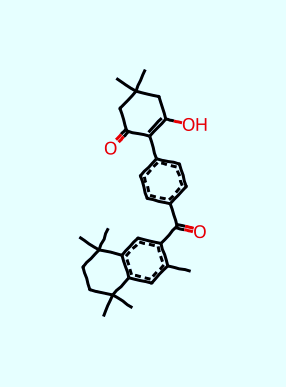 Cc1cc2c(cc1C(=O)c1ccc(C3=C(O)CC(C)(C)CC3=O)cc1)C(C)(C)CCC2(C)C